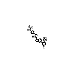 COC(=O)Nc1ccc(-c2cnc(C3CCc4cc(-c5cc(Cl)ccc5-n5cnnn5)cnc43)[nH]2)cc1